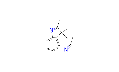 CC#N.CC1=Nc2ccccc2C1(C)C